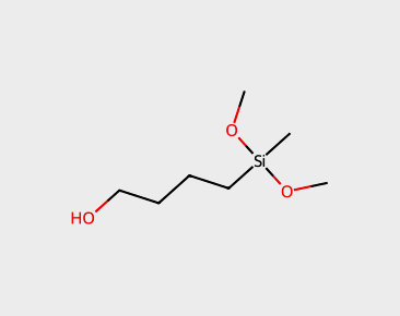 CO[Si](C)(CCCCO)OC